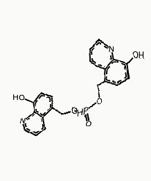 O=[PH](OCc1ccc(O)c2ncccc12)OCc1ccc(O)c2ncccc12